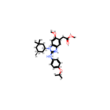 COC(=O)Cc1cc2nc(Nc3ccc(OC(C)C)cc3)n([C@H]3C[C@@H](C)CC(C)(C)C3)c2cc1OC